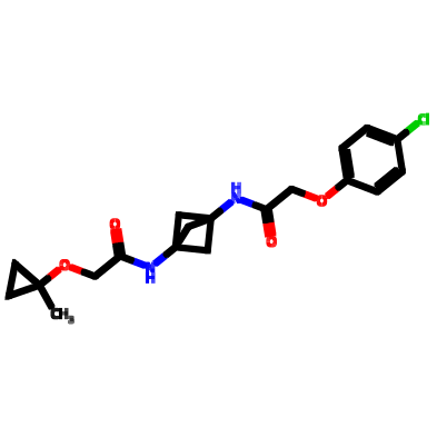 CC1(OCC(=O)NC23CC(NC(=O)COc4ccc(Cl)cc4)(C2)C3)CC1